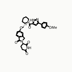 COc1ccc(-c2cc(C(=O)N3CCCC[C@H]3COc3ccc4c(c3)CN(C3CCC(=O)NC3=O)C4=O)[nH]n2)cc1